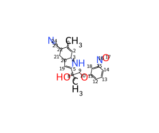 CC1=CC2NC(C(C)(O)COc3cccc(N=O)c3)=CC2CC1C#N